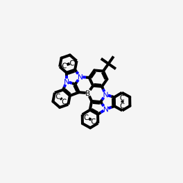 CC(C)(C)c1cc2c3c(c1)-n1c4c(n5c6c(c(c15)B3c1c3c(n5c7c(n-2c15)C1CCC7CC1)C1CCC3CC1)C1CCC6CC1)C1CCC4CC1